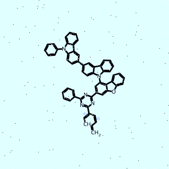 C=C/C=C\C(=C/C)c1nc(-c2ccccc2)nc(-c2cc(-n3c4ccccc4c4cc(-c5ccc6c(c5)c5ccccc5n6-c5ccccc5)ccc43)c3c(c2)oc2ccccc23)n1